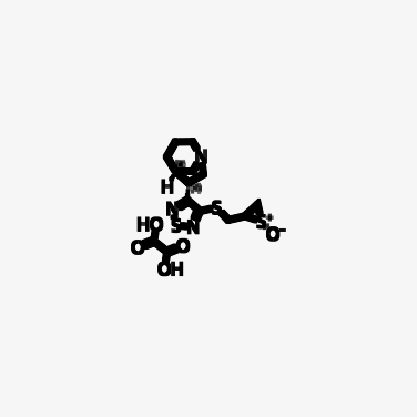 O=C(O)C(=O)O.[O-][S+]1CC1CSc1nsnc1[C@H]1CN2CCC[C@H]1C2